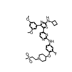 COc1cc(OC)cc(-c2nc(NC3CCC3)sc2-c2ccnc(Nc3ccc(OC4CCN(CCS(C)(=O)=O)CC4)c(F)c3)n2)c1